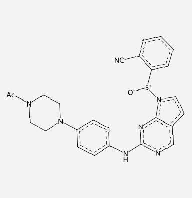 CC(=O)N1CCN(c2ccc(Nc3ncc4ccn([S+]([O-])c5ccccc5C#N)c4n3)cc2)CC1